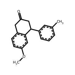 COc1ccc2c(c1)C(c1cccc(C)c1)CC(=O)C2